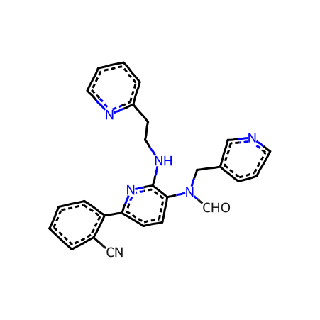 N#Cc1ccccc1-c1ccc(N(C=O)Cc2cccnc2)c(NCCc2ccccn2)n1